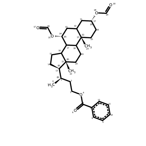 C[C@H](CCOC(=O)c1ccccc1)[C@H]1CCC2C3C(CC[C@@]21C)[C@@]1(C)CC[C@@H](OC=O)CC1C[C@H]3OC=O